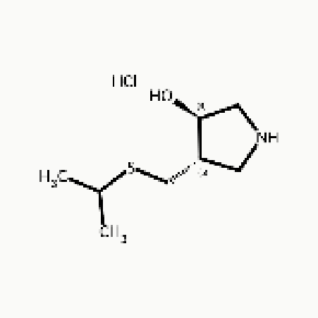 CC(C)SC[C@H]1CNC[C@@H]1O.Cl